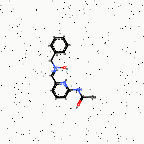 CC(C)(C)C(=O)Nc1cccc(/C=[N+](\[O-])Cc2ccccc2)n1